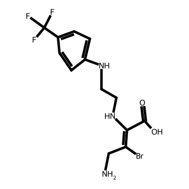 NC/C(Br)=C(\NCCNc1ccc(C(F)(F)F)cc1)C(=O)O